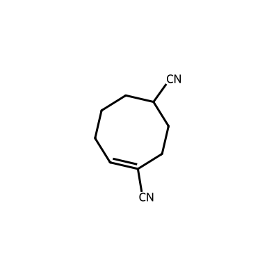 N#CC1=CCCCC(C#N)CC1